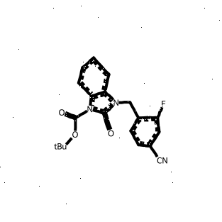 CC(C)(C)OC(=O)n1c(=O)n(Cc2ccc(C#N)cc2F)c2ccccc21